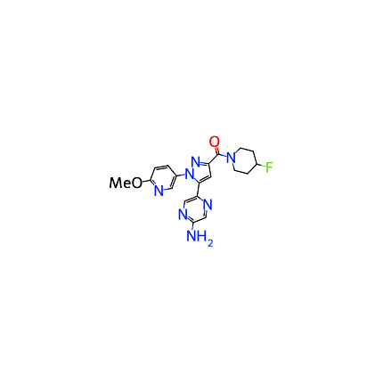 COc1ccc(-n2nc(C(=O)N3CCC(F)CC3)cc2-c2cnc(N)cn2)cn1